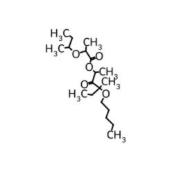 CCCCCOC(C)(CC)C(=O)C(C)OC(=O)C(C)OC(C)CC